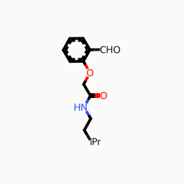 CC(C)CCNC(=O)COc1ccccc1C=O